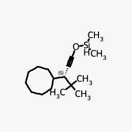 C[SiH](C)OC#C[C@@H](C1CCCCCCC1)C(C)(C)C